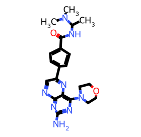 CC(NC(=O)c1ccc(-c2cnc3nc(N)nc(N4CCOCC4)c3n2)cc1)N(C)C